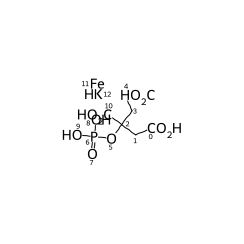 O=C(O)CC(CC(=O)O)(OP(=O)(O)O)C(=O)O.[Fe].[KH]